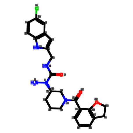 NN(C(=O)NCc1cc2cc(Cl)ccc2[nH]1)[C@@H]1CCCN(C(=O)c2cccc3c2OCC3)C1